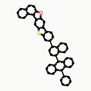 c1ccc(-c2c3ccccc3c(-c3ccc(-c4ccc5c(c4)sc4cc6c(cc45)oc4ccc5ccccc5c46)c4ccccc34)c3ccccc23)cc1